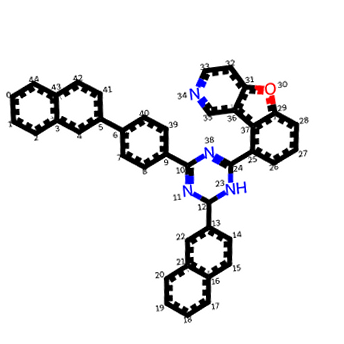 c1ccc2cc(-c3ccc(C4=NC(c5ccc6ccccc6c5)NC(c5cccc6oc7ccncc7c56)=N4)cc3)ccc2c1